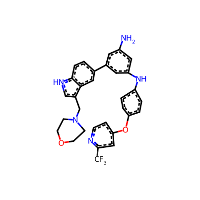 Nc1cc(Nc2ccc(Oc3ccnc(C(F)(F)F)c3)cc2)cc(-c2ccc3[nH]cc(CN4CCOCC4)c3c2)c1